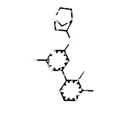 Cc1cccc(-c2cc(NC3CN4CCC3C4)nc(N)n2)c1C